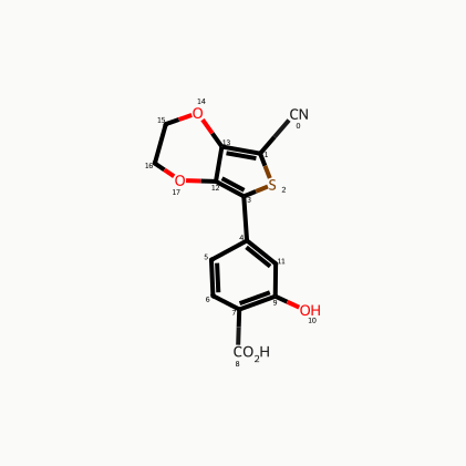 N#Cc1sc(-c2ccc(C(=O)O)c(O)c2)c2c1OCCO2